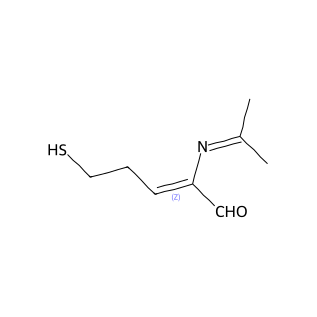 CC(C)=N/C(C=O)=C\CCS